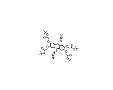 CC(C)(C)OC(=O)COc1cc2c(CN=[N+]=[N-])c3cc(OCC(=O)OC(C)(C)C)c(OCC(=O)OC(C)(C)C)cc3c(CN=[N+]=[N-])c2cc1OCC(=O)OC(C)(C)C